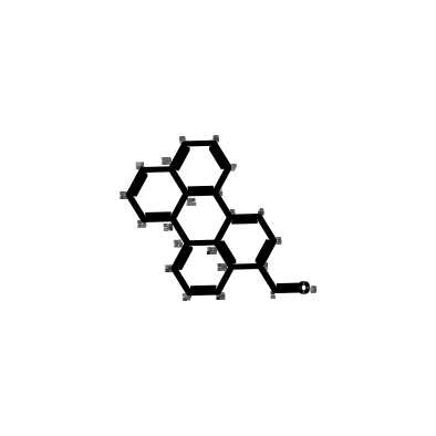 O=Cc1ccc2c3cccc4cccc(c5cccc1c52)c43